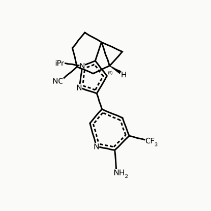 CC(C)n1nc(-c2cnc(N)c(C(F)(F)F)c2)cc1C12CCC(C#N)C[C@H]1C2